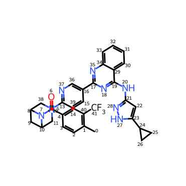 Cc1ccc(C(=O)N2C3CC2CN(c2ccc(-c4nc(Nc5cc(C6CC6)[nH]n5)c5ccccc5n4)cn2)C3)cc1C(F)(F)F